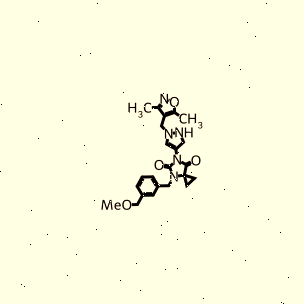 COCc1cccc(CN2C(=O)N(C3=CN(Cc4c(C)noc4C)NC3)C(=O)C23CC3)c1